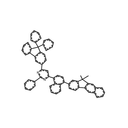 CC1(C)c2cc(-c3ccc(-c4cc(-c5ccc6c(c5)-c5ccccc5C6(c5ccccc5)c5ccccc5)nc(-c5ccccc5)n4)c4ccccc34)ccc2-c2cc3ccccc3cc21